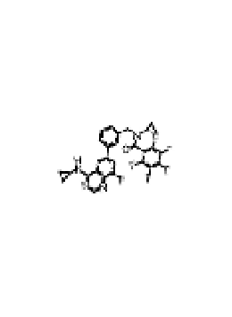 O=C(c1c(F)c(F)c(F)c(F)c1F)N(Cc1cccc(-c2cc(F)c3ncnc(NC4CC4)c3c2)c1)C1CC1